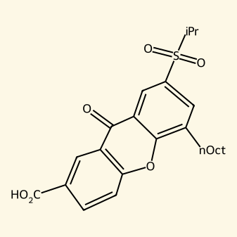 CCCCCCCCc1cc(S(=O)(=O)C(C)C)cc2c(=O)c3cc(C(=O)O)ccc3oc12